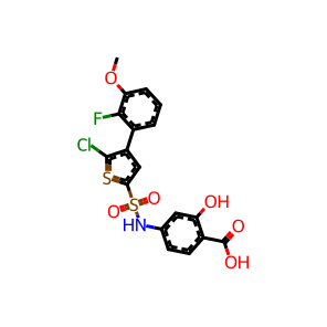 COc1cccc(-c2cc(S(=O)(=O)Nc3ccc(C(=O)O)c(O)c3)sc2Cl)c1F